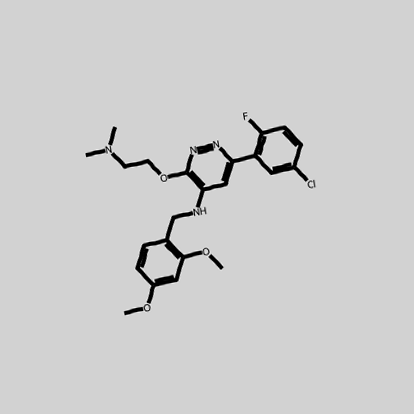 COc1ccc(CNc2cc(-c3cc(Cl)ccc3F)nnc2OCCN(C)C)c(OC)c1